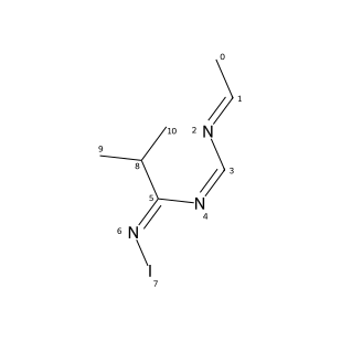 C/C=N/C=N\C(=N/I)C(C)C